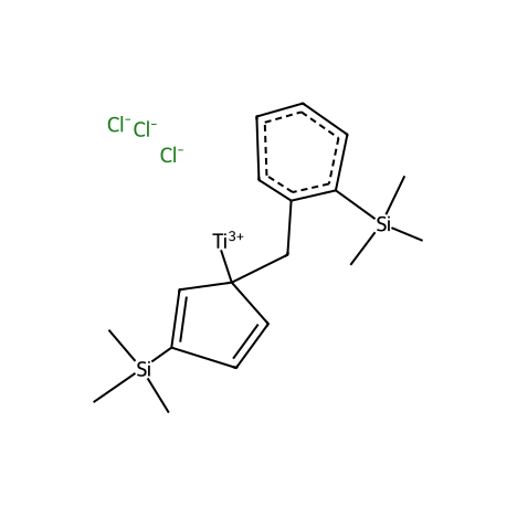 C[Si](C)(C)C1=C[C]([Ti+3])(Cc2ccccc2[Si](C)(C)C)C=C1.[Cl-].[Cl-].[Cl-]